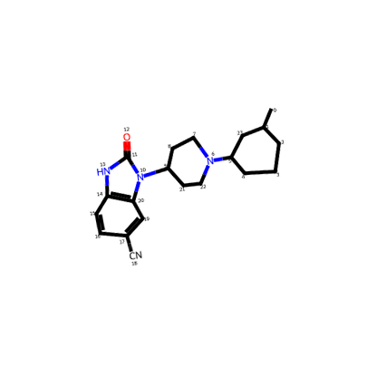 CC1CCCC(N2CCC(n3c(=O)[nH]c4ccc(C#N)cc43)CC2)C1